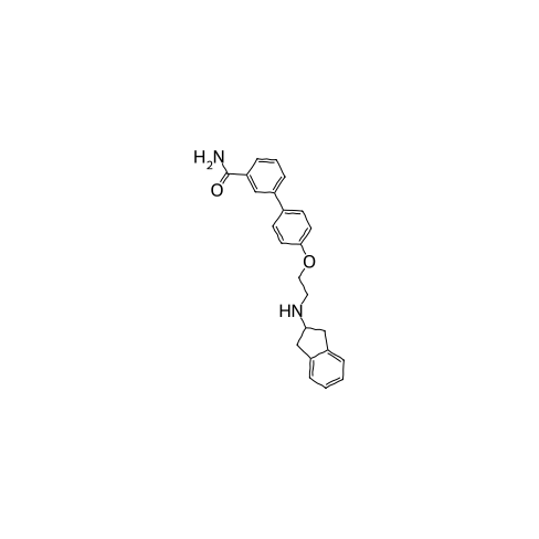 NC(=O)c1cccc(-c2ccc(OCCNC3Cc4ccccc4C3)cc2)c1